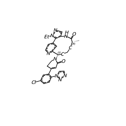 CCn1ncc2c1-c1ccnc(c1)[C@@H](N1CCC(c3cc(Cl)ccc3-n3ccnn3)=CC1=O)CCC[C@@H](C)C(=O)N2